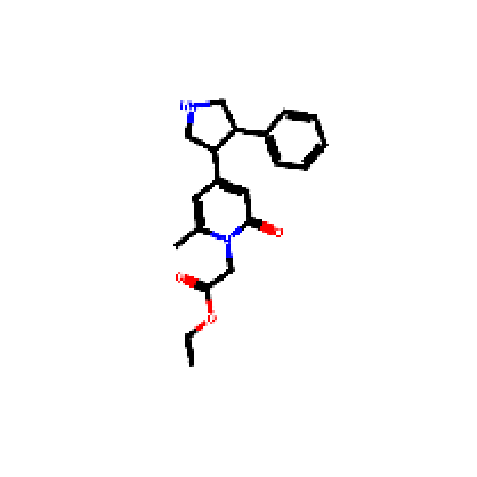 CCOC(=O)Cn1c(C)cc(C2CNCC2c2ccccc2)cc1=O